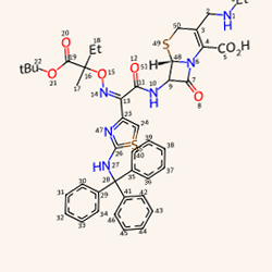 CCNCC1=C(C(=O)O)N2C(=O)C(NC(=O)/C(=N\OC(C)(CC)C(=O)OC(C)(C)C)c3csc(NC(c4ccccc4)(c4ccccc4)c4ccccc4)n3)[C@@H]2SC1